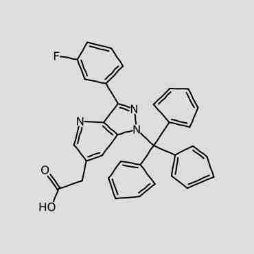 O=C(O)Cc1cnc2c(-c3cccc(F)c3)nn(C(c3ccccc3)(c3ccccc3)c3ccccc3)c2c1